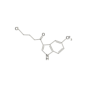 O=C(CCCCl)c1c[nH]c2ccc(C(F)(F)F)cc12